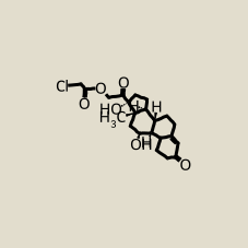 C[C@]12C[C@H](O)[C@@H]3C4CCC(=O)C=C4CC[C@H]3[C@@H]1CC[C@]2(O)C(=O)COC(=O)CCl